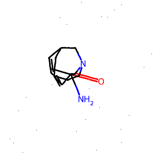 NC1C(=O)N2CCC3=C1C=CC(C3)C2